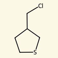 ClCC1CCSC1